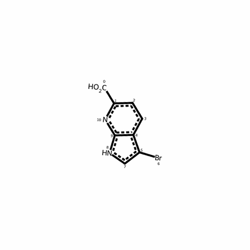 O=C(O)c1ccc2c(Br)c[nH]c2n1